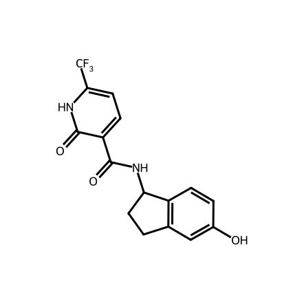 O=C(NC1CCc2cc(O)ccc21)c1ccc(C(F)(F)F)[nH]c1=O